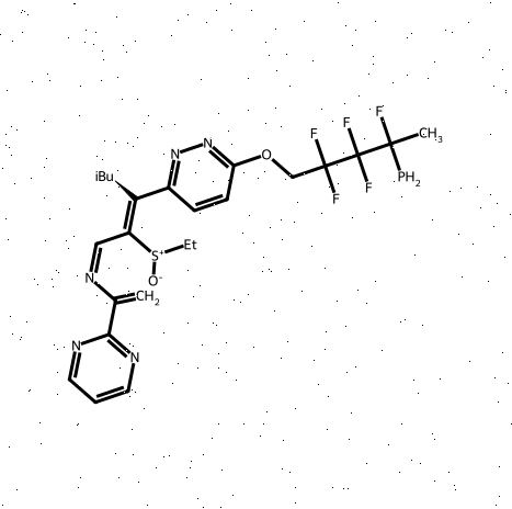 C=C(/N=C\C(=C(\c1ccc(OCC(F)(F)C(F)(F)C(C)(F)P)nn1)[C@H](C)CC)[S+]([O-])CC)c1ncccn1